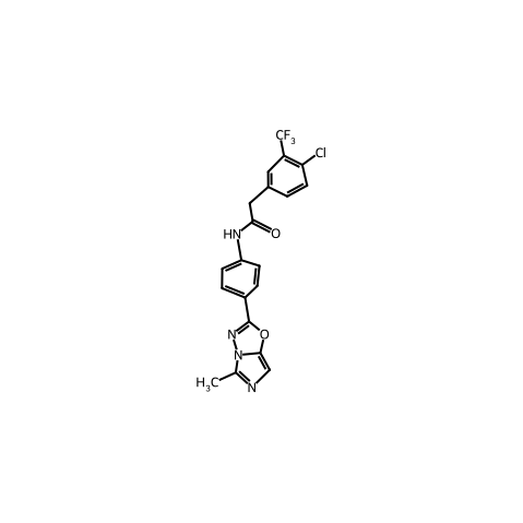 Cc1ncc2oc(-c3ccc(NC(=O)Cc4ccc(Cl)c(C(F)(F)F)c4)cc3)nn12